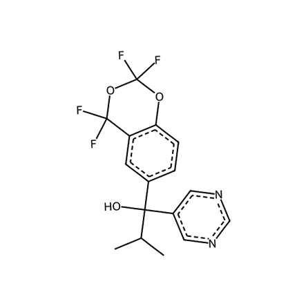 CC(C)C(O)(c1cncnc1)c1ccc2c(c1)C(F)(F)OC(F)(F)O2